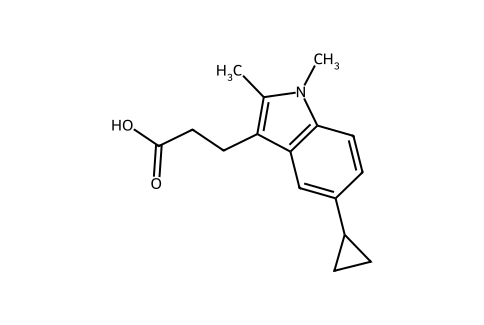 Cc1c(CCC(=O)O)c2cc(C3CC3)ccc2n1C